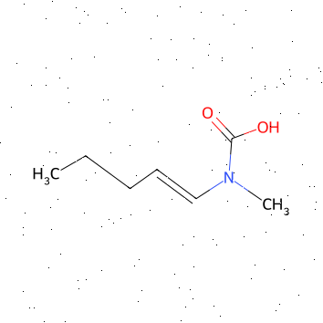 CCCC=CN(C)C(=O)O